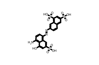 Nc1ccc(N=Nc2ccc3cc(S(=O)(=O)O)cc(S(=O)(=O)O)c3c2)c2cc(S(=O)(=O)O)cc(O)c12